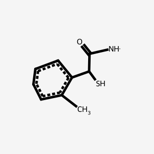 Cc1ccccc1C(S)C([NH])=O